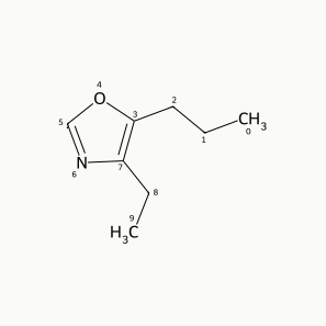 CCCc1o[c]nc1CC